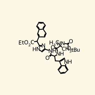 CCOC(=O)C(c1ccc2ccccc2c1)c1nc(NC(=O)C(Cc2c[nH]c3ccccc23)NC(=O)C(C)(C)NC(=O)OC(C)(C)C)c[nH]1